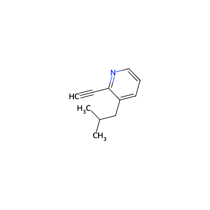 C#Cc1ncccc1CC(C)C